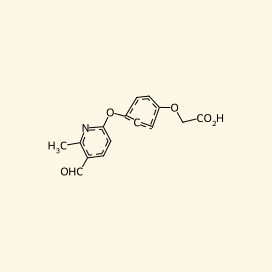 Cc1nc(Oc2ccc(OCC(=O)O)cc2)ccc1C=O